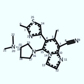 Cc1nc(-c2c(C)c(C#N)c3nccn3c2N2CC[C@H](N(C)C)C2)cs1